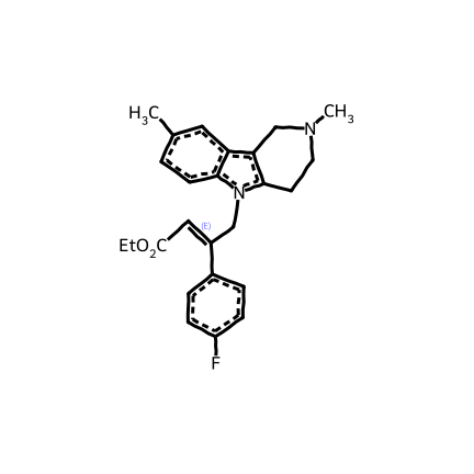 CCOC(=O)/C=C(/Cn1c2c(c3cc(C)ccc31)CN(C)CC2)c1ccc(F)cc1